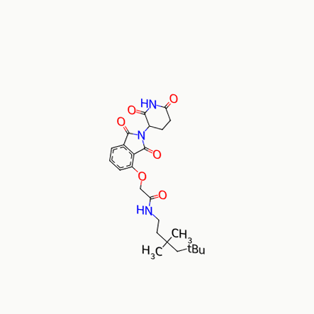 CC(C)(C)CC(C)(C)CCNC(=O)COc1cccc2c1C(=O)N(C1CCC(=O)NC1=O)C2=O